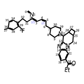 C=N/C(=C\C=C/CC1CCN(C2c3nc4ccc(C(=O)CC)cc4n3CC3CCC32)CC1)CCc1ccc(C)cc1F